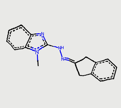 Cn1c(NN=C2Cc3ccccc3C2)nc2ccccc21